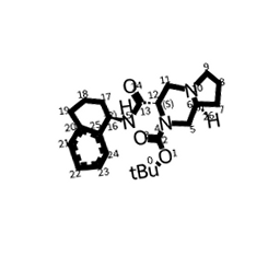 CC(C)(C)OC(=O)N1C[C@@H]2CCCN2C[C@H]1C(=O)N[C@@H]1CCCc2ccccc21